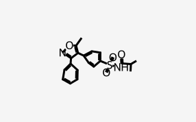 Cc1onc(-c2ccccc2)c1-c1ccc(S(=O)(=O)NC(=O)C(C)C)cc1